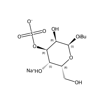 CC(C)CO[C@H]1O[C@H](CO)[C@H](O)[C@@H](OS(=O)(=O)[O-])[C@H]1O.[Na+]